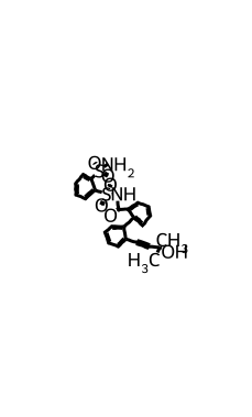 CC(C)(O)C#Cc1ccccc1-c1ccccc1C(=O)NS(=O)(=O)c1ccccc1S(N)(=O)=O